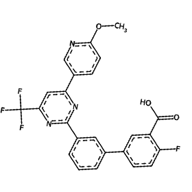 COc1ccc(-c2cc(C(F)(F)F)nc(-c3cccc(-c4ccc(F)c(C(=O)O)c4)c3)n2)cn1